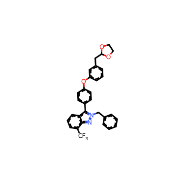 FC(F)(F)c1cccc2c(-c3ccc(Oc4cccc(CC5OCCO5)c4)cc3)n(Cc3ccccc3)nc12